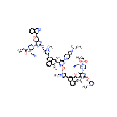 C=CC(=O)N1CC2(CCN(c3nc(OC[C@@H]4CC(c5cc(C6Cc7nc(OC[C@@H]8CCCN8C)nc(N8CCN(S(=O)(=O)C=C)[C@@H](CC#N)C8)c7CO6)c6c(C)cccc6c5)CN4C)nc4c3COC(c3cc(C5C[C@@H](COc6nc7c(c(N8CCN(C(=O)C=C)[C@@H](CC#N)C8)n6)COC(c6cncc8ccccc68)C7)N(C)C5)cc5cccc(C)c35)C4)CC2)C1